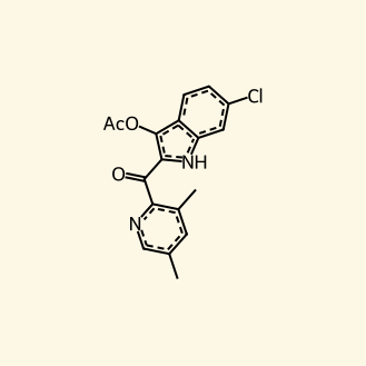 CC(=O)Oc1c(C(=O)c2ncc(C)cc2C)[nH]c2cc(Cl)ccc12